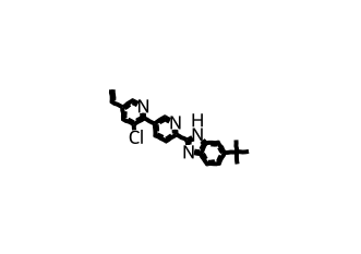 C=Cc1cnc(-c2ccc(-c3nc4ccc(C(C)(C)C)cc4[nH]3)nc2)c(Cl)c1